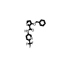 O=C(Nc1ccc(C(F)(F)F)nc1)c1sccc1OCc1ccccc1